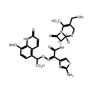 COc1ccc(C(O/N=C(\C(=O)N[C@@H]2C(=O)N3C(C(=O)O)=C(COC(C)=O)CS[C@H]23)c2csc(N)n2)C(=O)O)c2ccc(=O)[nH]c12